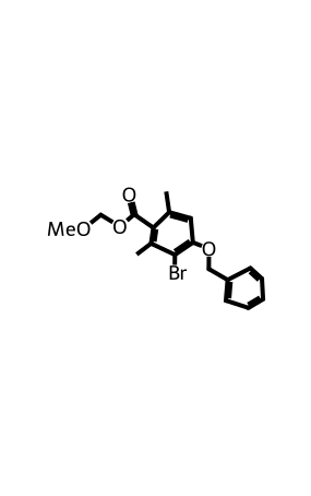 COCOC(=O)c1c(C)cc(OCc2ccccc2)c(Br)c1C